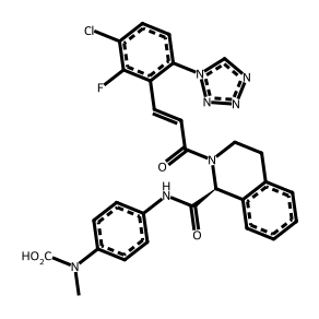 CN(C(=O)O)c1ccc(NC(=O)[C@@H]2c3ccccc3CCN2C(=O)/C=C/c2c(-n3cnnn3)ccc(Cl)c2F)cc1